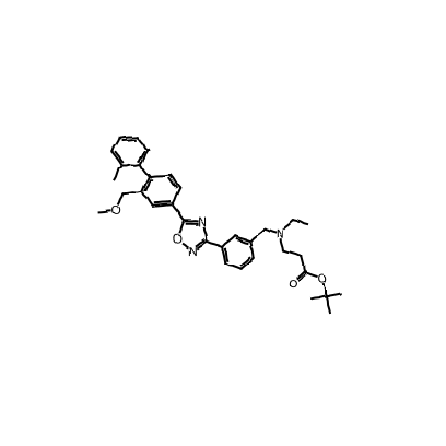 CCN(CCC(=O)OC(C)(C)C)Cc1cccc(-c2noc(-c3ccc(-c4ccccc4C)c(COC)c3)n2)c1